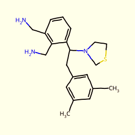 Cc1cc(C)cc(CC(c2cccc(CN)c2CN)N2CCSC2)c1